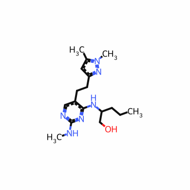 CCCC(CO)Nc1nc(NC)ncc1CCc1cc(C)n(C)n1